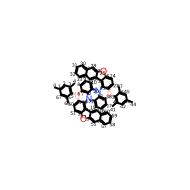 Cc1cc(C)c(B2c3cccc4c3N(c3cccc5c3N4c3c(ccc4oc6cc7ccccc7cc6c34)B5c3c(C)cc(C)cc3C)c3c2ccc2oc4cc5ccccc5cc4c32)c(C)c1